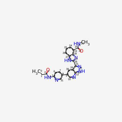 CCC(=O)Nc1ccc(-c2cnc3[nH]nc(-c4nc5c(C(=O)NC)cccc5[nH]4)c3c2)cn1